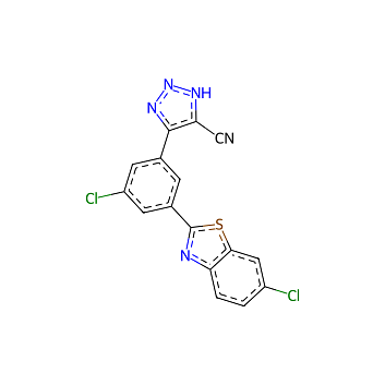 N#Cc1[nH]nnc1-c1cc(Cl)cc(-c2nc3ccc(Cl)cc3s2)c1